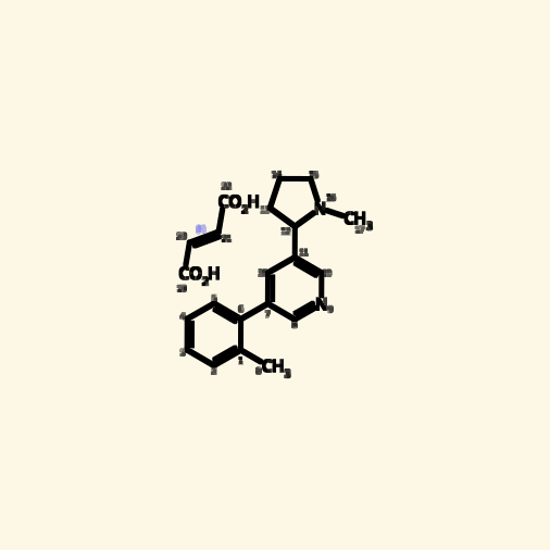 Cc1ccccc1-c1cncc(C2CCCN2C)c1.O=C(O)/C=C/C(=O)O